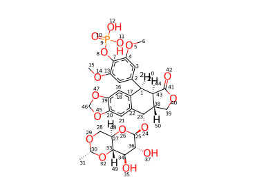 [2H][C@@]1(c2cc(OC)c(OP(=O)(O)O)c(OC)c2)c2cc3c(cc2[C@@H](O[C@@H]2O[C@@H]4CO[C@@H](C)O[C@H]4[C@H](O)[C@H]2O)[C@H]2COC(=O)[C@@]21[2H])OCO3